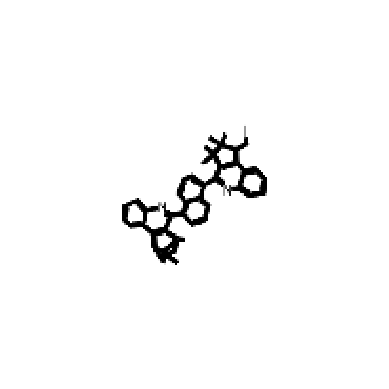 CC1(C)c2c(-c3cccc4c(-c5nc6ccccc6c6c5C5(C)CCC6C5(C)C)cccc34)nc3ccccc3c2C(CI)C1(C)C